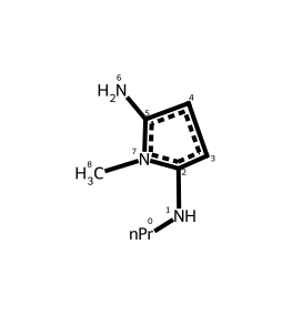 CCCNc1ccc(N)n1C